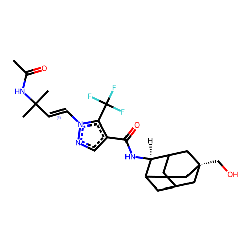 CC(=O)NC(C)(C)/C=C/n1ncc(C(=O)N[C@H]2C3CC4CC2C[C@](CO)(C4)C3)c1C(F)(F)F